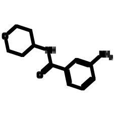 Nc1cccc(C(=O)NC2CCOCC2)c1